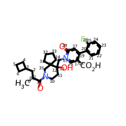 C[C@H](CC1CCC1)C(=O)N1CCC(O)(Cn2cc(C(=O)O)c(-c3ccccc3F)cc2=O)C2(CCCC2)C1